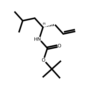 C=CC[C@@H](CC(C)C)NC(=O)OC(C)(C)C